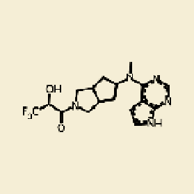 CN(c1ncnc2[nH]ccc12)C1CC2CN(C(=O)C(O)C(F)(F)F)CC2C1